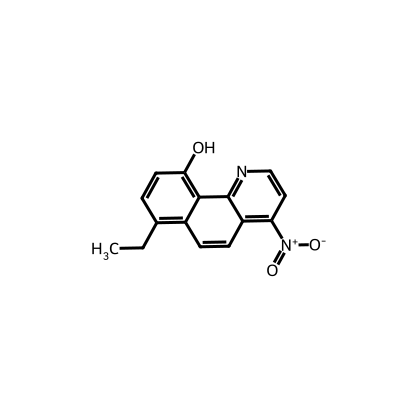 CCc1ccc(O)c2c1ccc1c([N+](=O)[O-])ccnc12